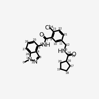 Cn1ncc2c(NC(=O)c3cc(CNC(=O)C4CCCC4)ccc3Cl)cccc21